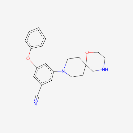 N#Cc1cc(Oc2ccccc2)cc(N2CCC3(CC2)CNCCO3)c1